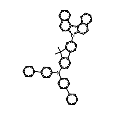 CC1(C)c2cc(N(c3ccc(-c4ccccc4)cc3)c3ccc(-c4ccccc4)cc3)ccc2-c2ccc(-n3c4ccc5ccccc5c4c4c5ccccc5ccc43)cc21